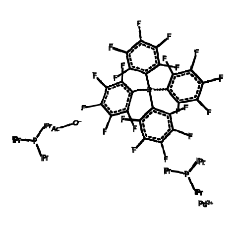 CC(=O)[O-].CC(C)P(C(C)C)C(C)C.CC(C)P(C(C)C)C(C)C.Fc1c(F)c(F)c([B-](c2c(F)c(F)c(F)c(F)c2F)(c2c(F)c(F)c(F)c(F)c2F)c2c(F)c(F)c(F)c(F)c2F)c(F)c1F.[Pd+2]